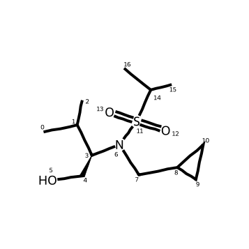 CC(C)[C@H](CO)N(CC1CC1)S(=O)(=O)C(C)C